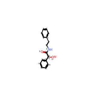 O=C(NCCc1ccccc1)[C@@H](O)c1ccccc1